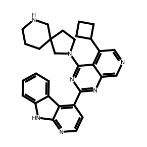 c1ccc2c(c1)[nH]c1nccc(-c3nc(N4CCC5(CCCNC5)C4)c4c(C5CCC5)cncc4n3)c12